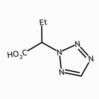 CCC(C(=O)O)n1ncnn1